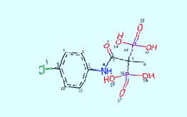 CC(C(=O)Nc1ccc(Cl)cc1)(P(=O)(O)O)P(=O)(O)O